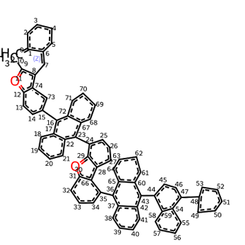 C=c1cccc/c1=C/c1c(C)oc2ccc(-c3c4ccccc4c(-c4cccc5c4oc4cccc(-c6c7ccccc7c(-c7ccc(-c8ccccc8)c8ccccc78)c7ccccc67)c45)c4ccccc34)cc12